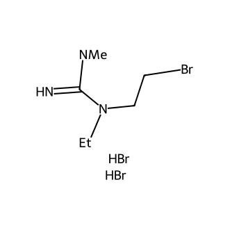 Br.Br.CCN(CCBr)C(=N)NC